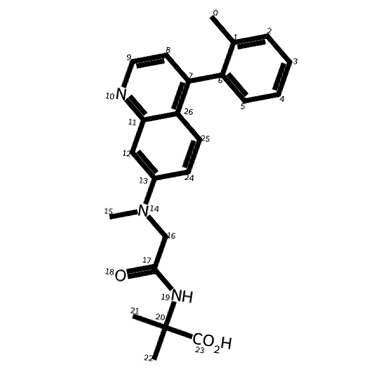 Cc1ccccc1-c1ccnc2cc(N(C)CC(=O)NC(C)(C)C(=O)O)ccc12